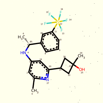 Cc1cc(N[C@H](C)c2cccc(S(F)(F)(F)(F)F)c2)cc(C2CC(C)(O)C2)n1